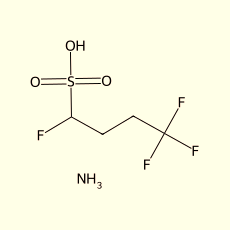 N.O=S(=O)(O)C(F)CCC(F)(F)F